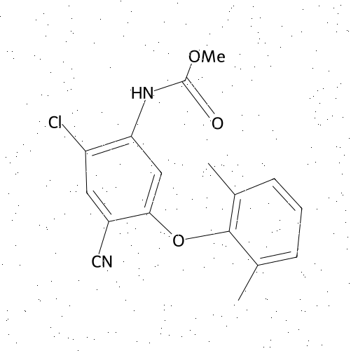 COC(=O)Nc1cc(Oc2c(C)cccc2C)c(C#N)cc1Cl